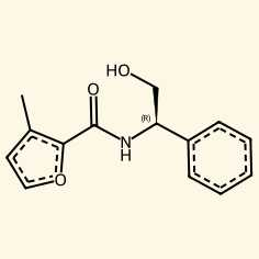 Cc1ccoc1C(=O)N[C@@H](CO)c1ccccc1